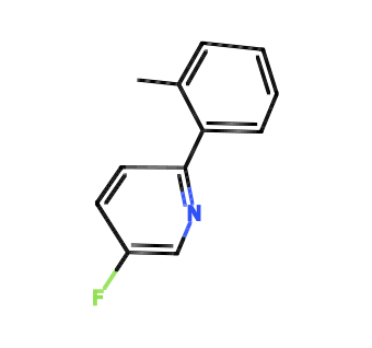 Cc1ccccc1-c1ccc(F)cn1